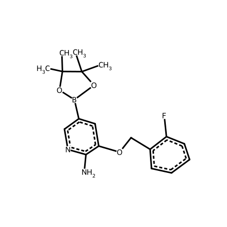 CC1(C)OB(c2cnc(N)c(OCc3ccccc3F)c2)OC1(C)C